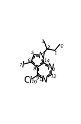 CCC(C)n1cc(I)c2c(Cl)ncnc21